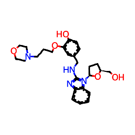 OC[C@@H]1CC[C@H](n2c(NCc3ccc(O)c(OCCCN4CCOCC4)c3)nc3ccccc32)O1